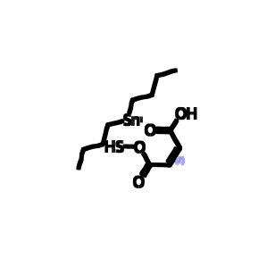 CCC[CH2][Sn][CH2]CCC.O=C(O)/C=C\C(=O)OS